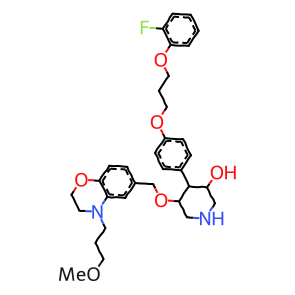 COCCCN1CCOc2ccc(COC3CNCC(O)C3c3ccc(OCCCOc4ccccc4F)cc3)cc21